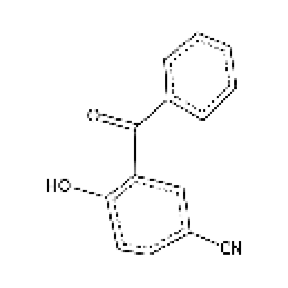 N#Cc1ccc(O)c(C(=O)c2ccccc2)c1